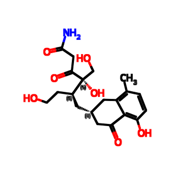 Cc1ccc(O)c2c1C[C@@H](C[C@@H](CCO)[C@](O)(CO)C(=O)CC(N)=O)CC2=O